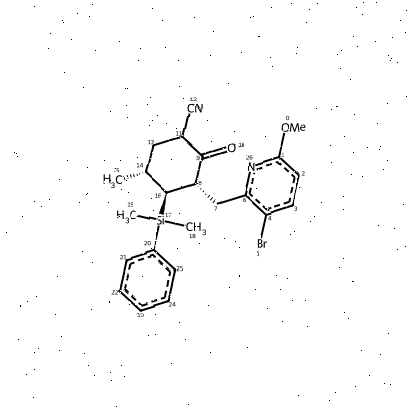 COc1ccc(Br)c(C[C@H]2C(=O)C(C#N)C[C@@H](C)[C@@H]2[Si](C)(C)c2ccccc2)n1